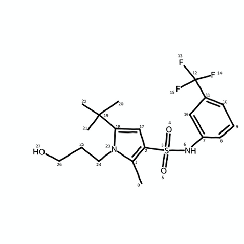 Cc1c(S(=O)(=O)Nc2cccc(C(F)(F)F)c2)cc(C(C)(C)C)n1CCCO